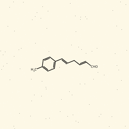 Cc1ccc(C=CCC=CC=O)cc1